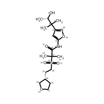 C[C@H](O)C(C)(C)c1cc(NC(=O)C(C)(C)S(=O)(=O)CC[C@@H]2CCOC2)on1